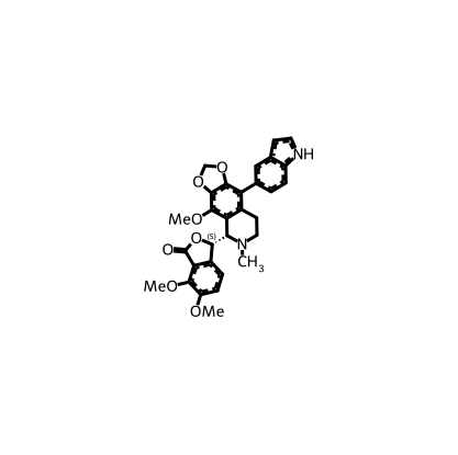 COc1ccc2c(c1OC)C(=O)O[C@@H]2C1c2c(c(-c3ccc4[nH]ccc4c3)c3c(c2OC)OCO3)CCN1C